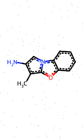 Cc1c(N)cn2c1oc1ccccc12